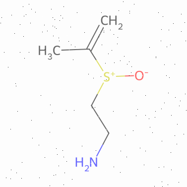 C=C(C)[S+]([O-])CCN